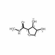 CNC(=O)C1OCC(O)C1O